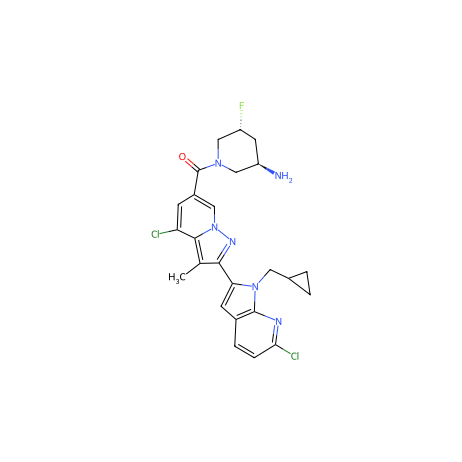 Cc1c(-c2cc3ccc(Cl)nc3n2CC2CC2)nn2cc(C(=O)N3C[C@H](N)C[C@@H](F)C3)cc(Cl)c12